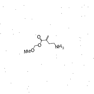 C=C(CCN)C(=O)OCOC